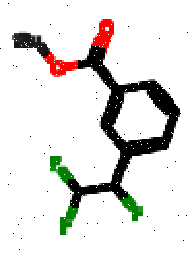 CC(C)(C)OC(=O)c1cccc(C(F)C(F)F)c1